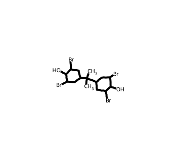 CC(C)(C1CC(Br)C(O)C(Br)C1)C1CC(Br)C(O)C(Br)C1